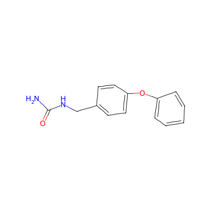 NC(=O)NCc1ccc(Oc2ccccc2)cc1